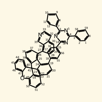 c1ccc(-c2nc(-c3ccccc3)nc(-c3ccc(-c4cccc5c4-c4c(-c6cccc7ccncc67)cccc4C54c5ccccc5Oc5ccccc54)cc3)n2)cc1